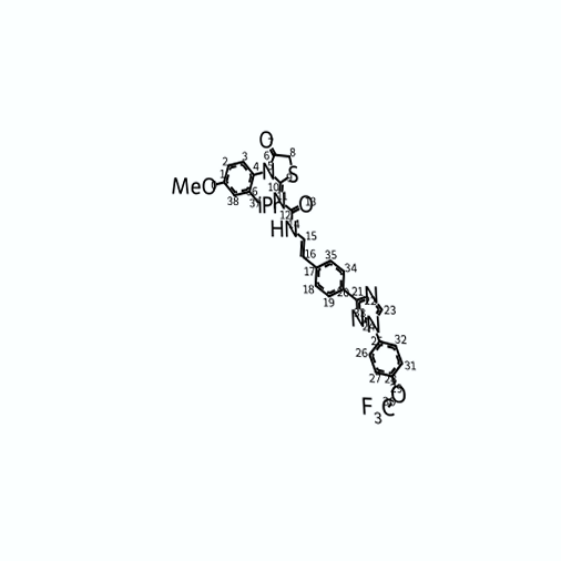 COc1ccc(N2C(=O)CS/C2=N\C(=O)N/C=C/c2ccc(-c3ncn(-c4ccc(OC(F)(F)F)cc4)n3)cc2)c(C(C)C)c1